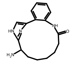 NC1CCCCCC(=O)Nc2ccccc2-c2c[nH]c1n2